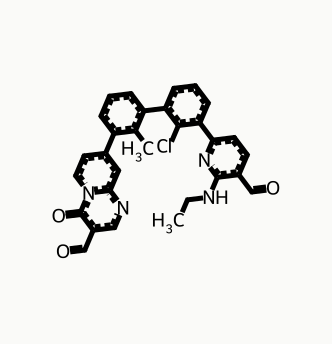 CCNc1nc(-c2cccc(-c3cccc(-c4ccn5c(=O)c(C=O)cnc5c4)c3C)c2Cl)ccc1C=O